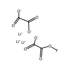 O=C([O-])C(=O)OF.O=C([O-])C(=O)[O-].[Li+].[Li+].[Li+]